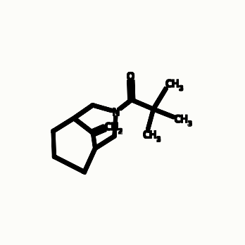 C=C1C2CCCC1CN(C(=O)C(C)(C)C)C2